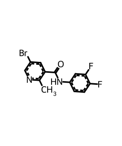 Cc1ncc(Br)cc1C(=O)Nc1ccc(F)c(F)c1